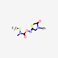 CC(C)N1CC(=NOC(=O)N(C)SC(F)(F)F)SCC1=O